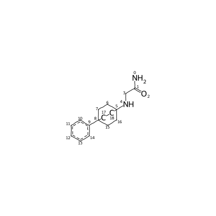 NC(=O)CNC12CCC(c3ccccc3)(CC1)CC2